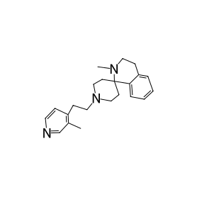 Cc1cnccc1CCN1CCC2(CC1)c1ccccc1CCN2C